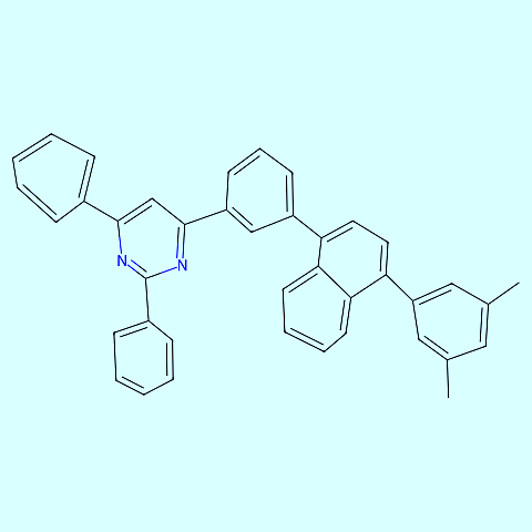 Cc1cc(C)cc(-c2ccc(-c3cccc(-c4cc(-c5ccccc5)nc(-c5ccccc5)n4)c3)c3ccccc23)c1